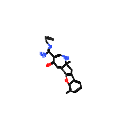 CNC/N=C(\N)C1=CNC2(C)Cc3c(oc4c(C)cccc34)C2=CC1=O